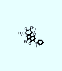 CCc1nc2c(c3c1C(=O)C(Nc1ccccc1)=CC3=O)c(=O)n(C)c(=O)n2C